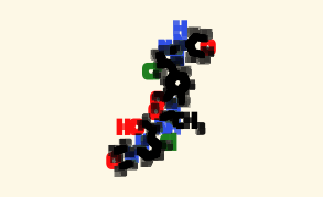 C[C@H](C(=O)N[C@H](CO)c1nc(N2CCOCC2)ccc1Cl)N1Cc2ccc(-c3nc(NC4CCOCC4)ncc3Cl)cc2C1=O